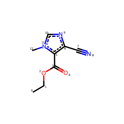 CCOC(=O)c1c(C#N)ncn1C